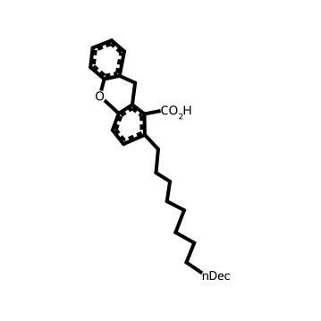 CCCCCCCCCCCCCCCCCCc1ccc2c(c1C(=O)O)Cc1ccccc1O2